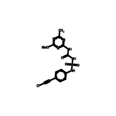 COc1nc(C)nc(NC(=O)NS(=O)(=O)Nc2ccc(C#CCl)cc2)n1